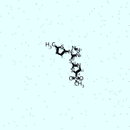 Cc1ccc(-n2nnnc2Sc2ncc(S(C)(=O)=O)s2)s1